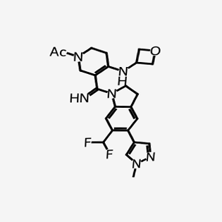 CC(=O)N1CCC(NC2COC2)=C(C(=N)N2CCc3cc(-c4cnn(C)c4)c(C(F)F)cc32)C1